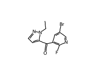 CCn1nccc1C(=O)c1cc(Br)cnc1F